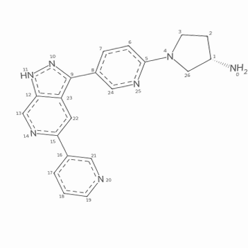 N[C@H]1CCN(c2ccc(-c3n[nH]c4cnc(-c5cccnc5)cc34)cn2)C1